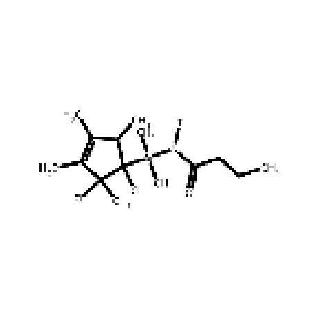 CCCC(=O)[N]([Ti])[Si](C)(C)C1(Cl)C(C)C(C)=C(C)C1(C)Cl